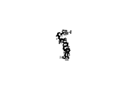 CC[C@@H](C(=O)[C@@H](C)C(=O)[C@H](C)[C@@H]1O[C@@H]([C@@H](CC)C(=O)O)CC[C@@H]1C)[C@H]1O[C@]2(C=C[C@@H](O)[C@]3(CC[C@@](C)([C@H]4CC[C@](O)(CC)[C@H](C)O4)O3)O2)[C@H](C)C[C@@H]1C